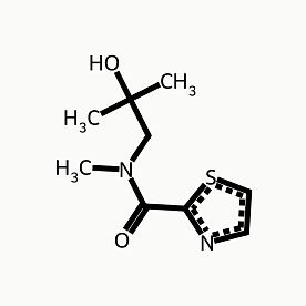 CN(CC(C)(C)O)C(=O)c1nccs1